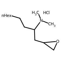 CCCCCCCCC(CC1CO1)N(C)C.Cl